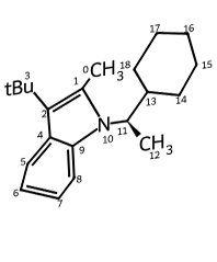 Cc1c(C(C)(C)C)c2ccccc2n1[C@H](C)C1CCCCC1